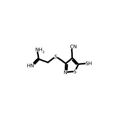 N#Cc1c(SCC(=N)N)nsc1S